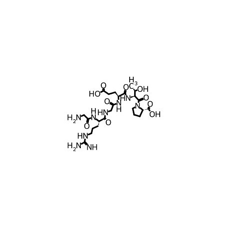 C[C@@H](O)[C@H](NC(=O)[C@H](CCC(=O)O)NC(=O)CNC(=O)[C@H](CCCNC(=N)N)NC(=O)CN)C(=O)N1CCC[C@H]1C(=O)O